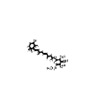 CC1=C(/C=C/C(C)=C/C=C/C(C)=C/C(=O)OC2OC(C(=O)O)C(O)C(O)C2O)C(C)(C)CCC1=O